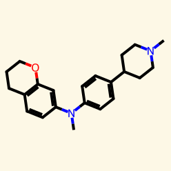 CN1CCC(c2ccc(N(C)c3ccc4c(c3)OCCC4)cc2)CC1